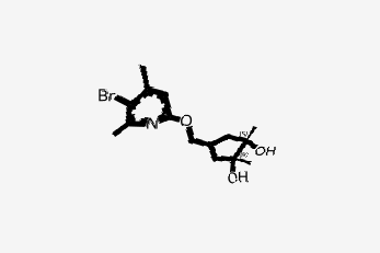 Cc1cc(OCC2C[C@](C)(O)[C@](C)(O)C2)nc(C)c1Br